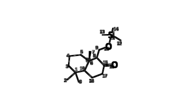 CC1(C)CCC[C@]2(C)C(CO[Si](C)(C)C)C(=O)CCC12